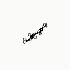 O=C(OCCCOc1c(Cl)cc(OCC=C(Cl)Cl)cc1Cl)c1ccc(OCC(F)(F)F)cc1